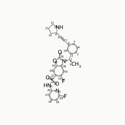 C[C@H](c1cccc(C#CC2CCCN2)c1)n1c(=O)oc2cc(S(=O)(=O)Nc3cccc(F)n3)c(F)cc21